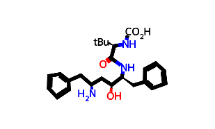 CC(C)(C)[C@H](NC(=O)O)C(=O)N[C@@H](Cc1ccccc1)[C@@H](O)C[C@@H](N)Cc1ccccc1